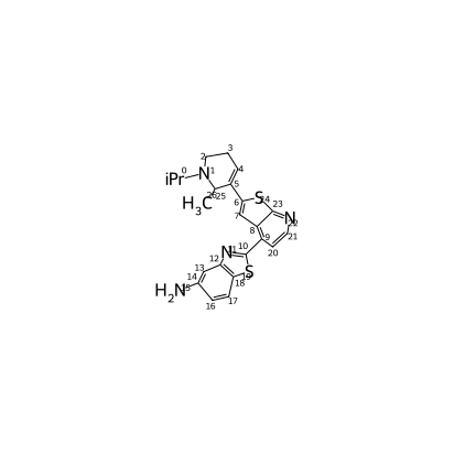 CC(C)N1CCC=C(c2cc3c(-c4nc5cc(N)ccc5s4)ccnc3s2)C1C